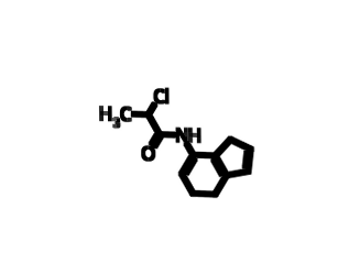 CC(Cl)C(=O)NC1=CCCC2=C1CC=C2